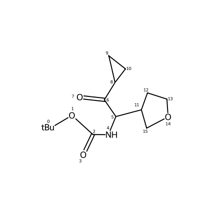 CC(C)(C)OC(=O)NC(C(=O)C1CC1)C1CCOC1